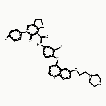 O=C(Nc1ccc(Oc2ccnc3ccc(OCCN4CCOCC4)cc23)c(F)c1)c1c2c(cn(-c3ccc(F)cc3)c1=O)CCO2